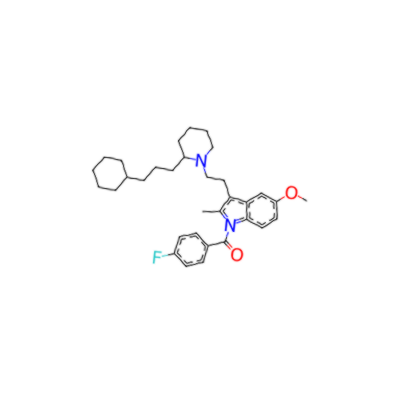 COc1ccc2c(c1)c(CCN1CCCCC1CCCC1CCCCC1)c(C)n2C(=O)c1ccc(F)cc1